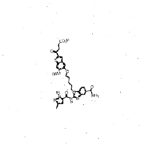 CCn1nc(C)cc1C(=O)Nc1nc2cc(C(N)=O)ccc2n1CCCCCOc1cc2cc(C(=O)CCC(=O)O)sc2cc1OC